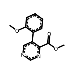 COC(=O)c1ncncc1-c1ccccc1OC